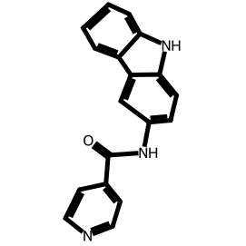 O=C(Nc1ccc2[nH]c3ccccc3c2c1)c1ccncc1